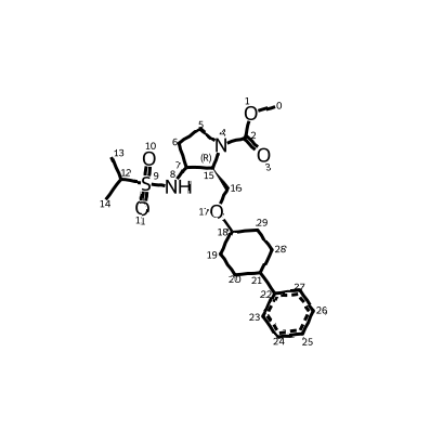 COC(=O)N1CCC(NS(=O)(=O)C(C)C)[C@@H]1COC1CCC(c2ccccc2)CC1